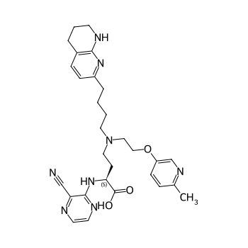 Cc1ccc(OCCN(CCCCc2ccc3c(n2)NCCC3)CC[C@H](Nc2nccnc2C#N)C(=O)O)cn1